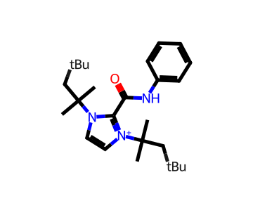 CC(C)(C)CC(C)(C)n1cc[n+](C(C)(C)CC(C)(C)C)c1C(=O)Nc1ccccc1